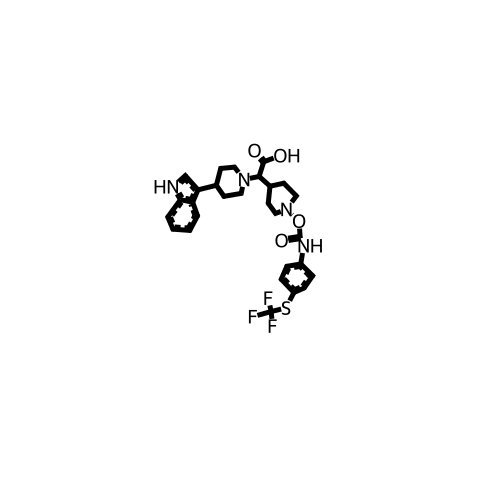 O=C(Nc1ccc(SC(F)(F)F)cc1)ON1CCC(C(C(=O)O)N2CCC(c3c[nH]c4ccccc34)CC2)CC1